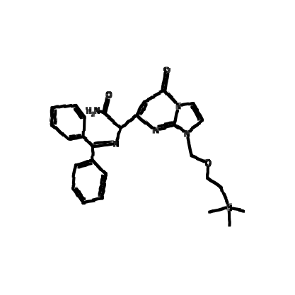 C[Si](C)(C)CCOCn1ccn2c(=O)cc(C(N=C(c3ccccc3)c3ccccc3)C(N)=O)nc12